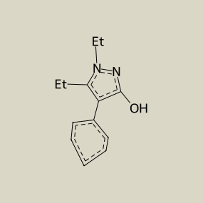 CCc1c(-c2ccccc2)c(O)nn1CC